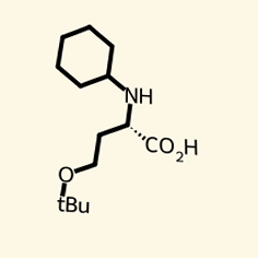 CC(C)(C)OCC[C@H](NC1CCCCC1)C(=O)O